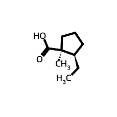 CC[C@@H]1CCC[C@]1(C)C(=O)O